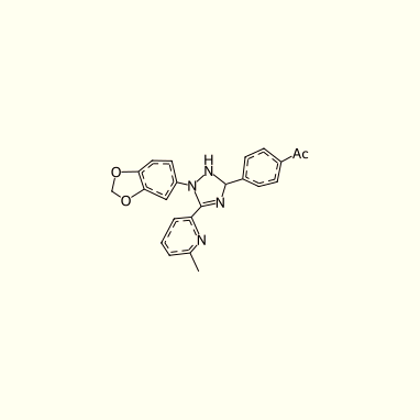 CC(=O)c1ccc(C2N=C(c3cccc(C)n3)N(c3ccc4c(c3)OCO4)N2)cc1